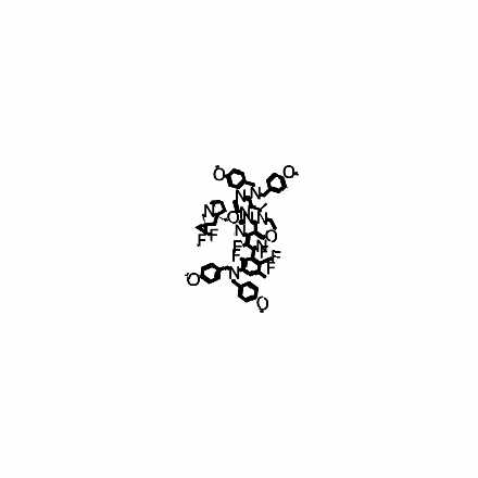 COc1ccc(CN(Cc2ccc(OC)cc2)c2cc(C)c(C(F)(F)F)c(-c3nc4c5c(nc(OC[C@@]67CCCN6C[C@]6(CC6(F)F)C7)nc5c3F)N([C@H](C)c3nccnc3N(Cc3ccc(OC)cc3)Cc3ccc(OC)cc3)CCO4)c2F)cc1